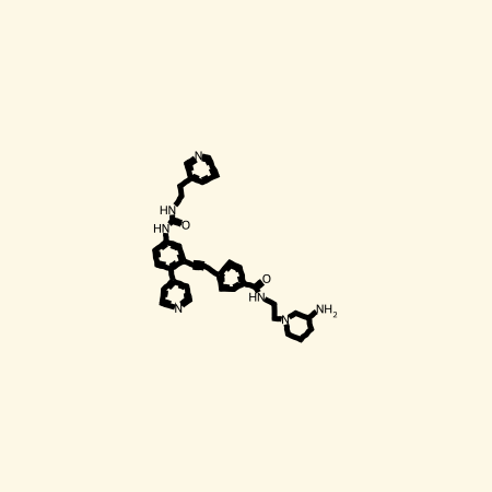 NC1CCCN(CCNC(=O)c2ccc(C#Cc3cc(NC(=O)NCCc4cccnc4)ccc3-c3ccncc3)cc2)C1